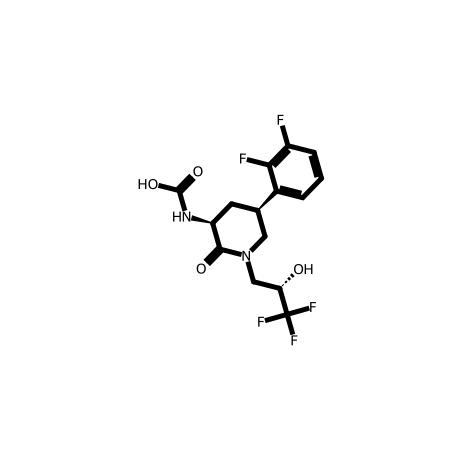 O=C(O)N[C@H]1C[C@@H](c2cccc(F)c2F)CN(C[C@H](O)C(F)(F)F)C1=O